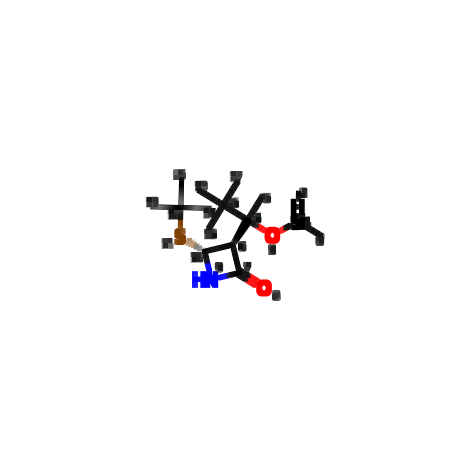 C[SiH](C)OC(C)([C@H]1C(=O)N[C@@H]1SC(C)(C)C)C(C)(C)C